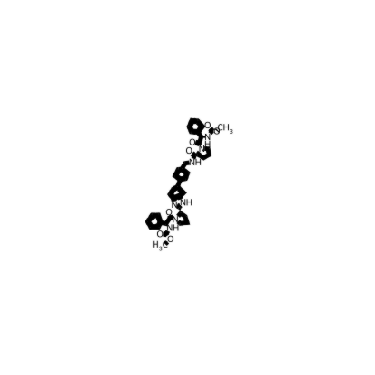 COC(=O)N[C@@H](C(=O)N1CCC[C@H]1C(=O)NCc1ccc(-c2ccc3nc([C@@H]4CCCN4C(=O)[C@H](NC(=O)OC)c4ccccc4)[nH]c3c2)cc1)c1ccccc1